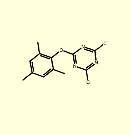 Cc1cc(C)c(Oc2nc(Cl)nc(Cl)n2)c(C)c1